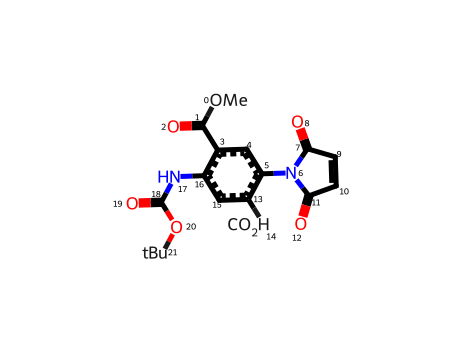 COC(=O)c1cc(N2C(=O)C=CC2=O)c(C(=O)O)cc1NC(=O)OC(C)(C)C